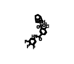 C[C@]1(O)C2CCC1C[C@@H](S(=O)(=O)c1cc(C(=O)Nc3cc(F)c(F)c(F)c3)ccc1Cl)C2